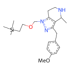 COc1ccc(Cc2nn(COCC[Si](C)(C)C)c3c2C(C)NCC3)cc1